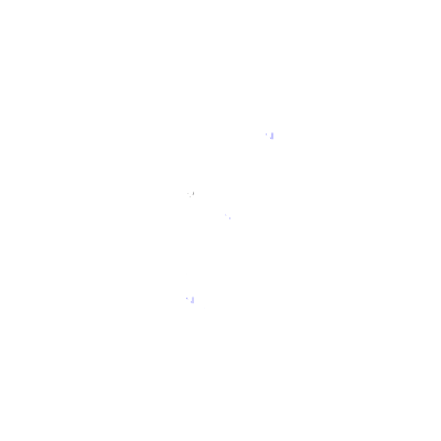 CCN(CCC=N)c1cc(N)ccc1OC